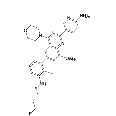 COc1cc(-c2cccc(NSCCCF)c2F)cc2c(N3CCOCC3)nc(-c3ccc(NC(C)=O)nc3)nc12